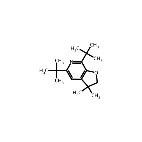 CC(C)(C)c1cc2c(c(C(C)(C)C)n1)OCC2(C)C